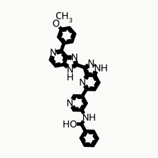 COc1cccc(-c2nccc3[nH]c(-c4n[nH]c5ccc(-c6cncc(NC(O)c7ccccc7)c6)nc45)nc23)c1